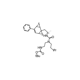 CC(C)CCN(CCNC(=O)OC(C)(C)C)C(=O)N[C@@H](C)CC12SC1C=C(c1ccccc1)C1SC12